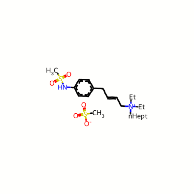 CCCCCCC[N+](CC)(CC)CC=CCc1ccc(NS(C)(=O)=O)cc1.CS(=O)(=O)[O-]